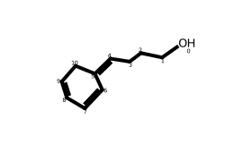 OCCCC=C1C=CC=CC1